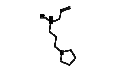 C=CC[SiH](CC)CCCN1CCCC1